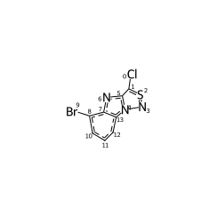 ClC1=S=Nn2c1nc1c(Br)cccc12